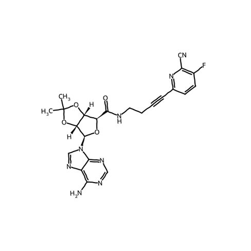 CC1(C)O[C@@H]2[C@H](O1)[C@@H](C(=O)NCCC#Cc1ccc(F)c(C#N)n1)O[C@H]2n1cnc2c(N)ncnc21